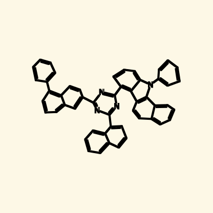 c1ccc(-c2cccc3cc(-c4nc(-c5cccc6ccccc56)nc(-c5cccc6c5c5ccc7ccccc7c5n6-c5ccccc5)n4)ccc23)cc1